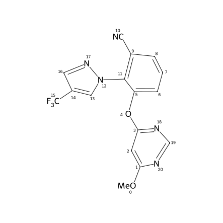 COc1cc(Oc2cccc(C#N)c2-n2cc(C(F)(F)F)cn2)ncn1